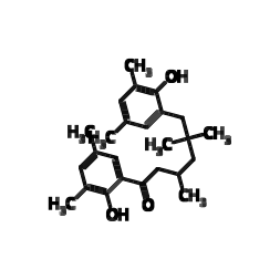 Cc1cc(C)c(O)c(CC(C)(C)CC(C)CC(=O)c2cc(C)cc(C)c2O)c1